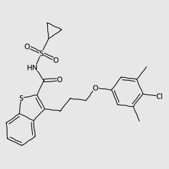 Cc1cc(OCCCc2c(C(=O)NS(=O)(=O)C3CC3)sc3ccccc23)cc(C)c1Cl